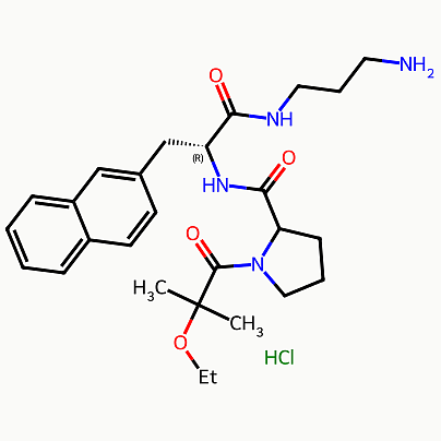 CCOC(C)(C)C(=O)N1CCCC1C(=O)N[C@H](Cc1ccc2ccccc2c1)C(=O)NCCCN.Cl